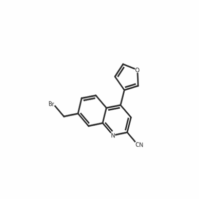 N#Cc1cc(-c2ccoc2)c2ccc(CBr)cc2n1